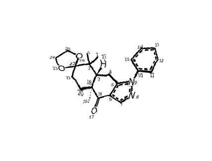 CC1(C)[C@@H]2Cc3c(cnn3-c3ccccc3)C(=O)[C@@]2(C)CCC12OCCO2